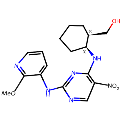 COc1ncccc1Nc1ncc([N+](=O)[O-])c(N[C@H]2CCCC[C@H]2CO)n1